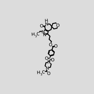 CCn1nc(CCCOC(=O)c2ccc(S(=O)(=O)N3CCN(C(C)=O)CC3)cc2)c2c1C(=O)NCC1(CCOCC1)C2